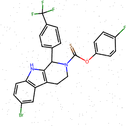 Fc1ccc(OC(=S)N2CCc3c([nH]c4ccc(Br)cc34)C2c2ccc(C(F)(F)F)cc2)cc1